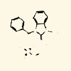 CN1c2ccccc2N(Cc2ccccc2)C1C(F)(F)F.COS(=O)(=O)O